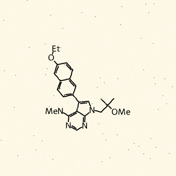 CCOc1ccc2cc(-c3cn(CC(C)(C)OC)c4ncnc(NC)c34)ccc2c1